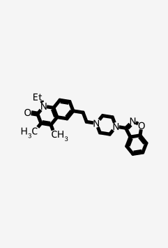 CCn1c(=O)c(C)c(C)c2cc(CCN3CCN(c4noc5ccccc45)CC3)ccc21